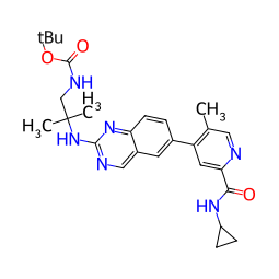 Cc1cnc(C(=O)NC2CC2)cc1-c1ccc2nc(NC(C)(C)CNC(=O)OC(C)(C)C)ncc2c1